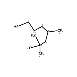 FC(F)(F)C(CCCS)CC(F)(C(F)(F)F)C(F)(F)F